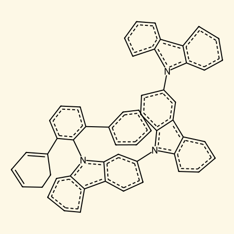 C1=CCCC(c2cccc(-c3ccccc3)c2-n2c3ccccc3c3ccc(-n4c5ccccc5c5cc(-n6c7ccccc7c7ccccc76)ccc54)cc32)=C1